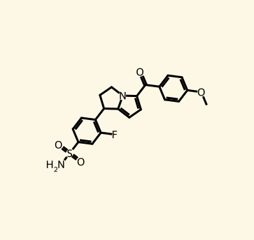 COc1ccc(C(=O)c2ccc3n2CCC3c2ccc(S(N)(=O)=O)cc2F)cc1